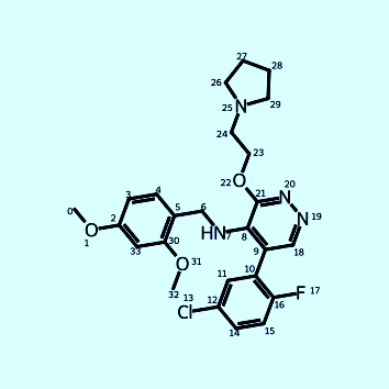 COc1ccc(CNc2c(-c3cc(Cl)ccc3F)cnnc2OCCN2CCCC2)c(OC)c1